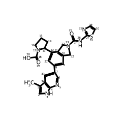 Cc1c[nH]c2ncc(-c3cc4c(c(C5CCCN5C(=O)O)c3)CN(C(=O)Nc3nccs3)C4)cc12